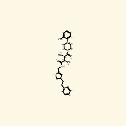 O=C(NCC1=CC(CCc2ccccc2)CS1)[C@H](O)[C@@H](O)C(=O)N1CCN(c2ccccc2Cl)CC1